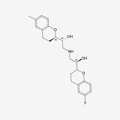 Cc1ccc2c(c1)CC[C@H]([C@H](O)CNC[C@@H](O)C1CCc3cc(F)ccc3O1)O2